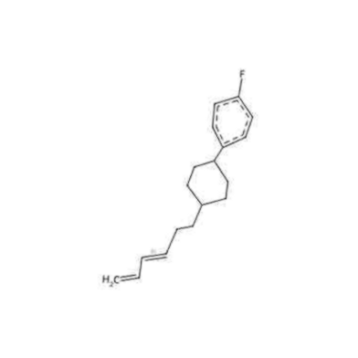 C=C/C=C/CCC1CCC(c2ccc(F)cc2)CC1